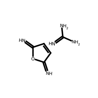 N=C(N)N.N=C1C=CC(=N)O1